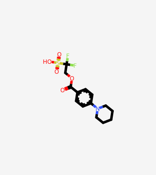 O=C(OCC(F)(F)S(=O)(=O)O)c1ccc(N2CCCCC2)cc1